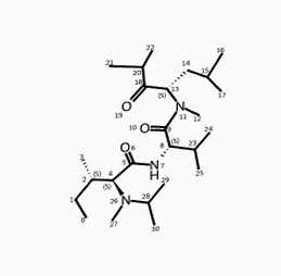 CC[C@H](C)[C@@H](C(=O)N[C@H](C(=O)N(C)[C@@H](CC(C)C)C(=O)C(C)C)C(C)C)N(C)C(C)C